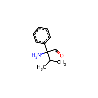 C[C](C)C(N)(C=O)c1ccccc1